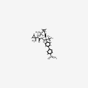 C[S+]([O-])c1ccc(-c2ccc([C@](C#CC3CC3)(N[C@@H](CS(C)(=O)=O)C(=O)NC3(N)CC3)C(F)(F)F)cc2)cc1